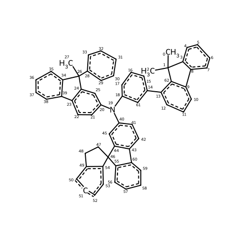 CC1(C)c2ccccc2-c2cccc(-c3cccc(N(c4ccc5c(c4)C(C)(c4ccccc4)c4ccccc4-5)c4ccc5c(c4)C4(CCc6ccccc64)c4ccccc4-5)c3)c21